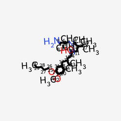 C=C(NCC(C)(C)C(=C)N)C(C[C@H](O)CCC(Cc1ccc(OC)c(OCCCCC)c1)C(C)C)C(C)C